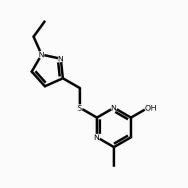 CCn1ccc(CSc2nc(C)cc(O)n2)n1